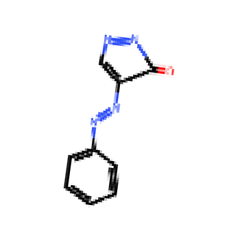 O=C1N=NC=C1N=Nc1ccccc1